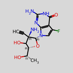 C#C[C@@]1(N)C(O)[C@@H]([C@H](C)O)O[C@H]1n1cc(F)c2c(=O)[nH]c(N)nc21